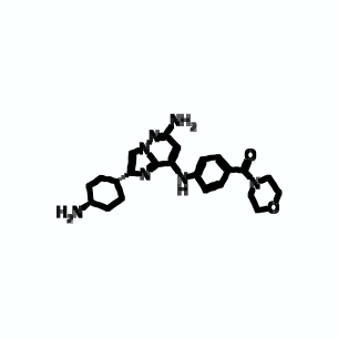 Nc1cc(Nc2ccc(C(=O)N3CCOCC3)cc2)c2nc([C@H]3CC[C@H](N)CC3)cn2n1